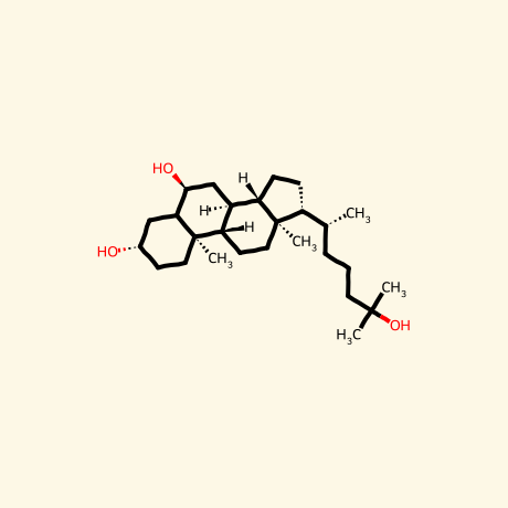 C[C@H](CCCC(C)(C)O)[C@H]1CC[C@H]2[C@@H]3C[C@H](O)C4C[C@@H](O)CC[C@]4(C)[C@H]3CC[C@]12C